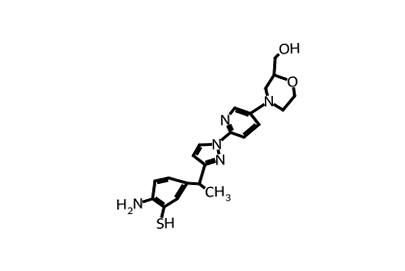 CC(c1ccc(N)c(S)c1)c1ccn(-c2ccc(N3CCOC(CO)C3)cn2)n1